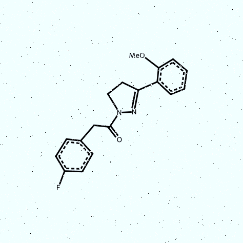 COc1ccccc1C1=NN(C(=O)Cc2ccc(F)cc2)CC1